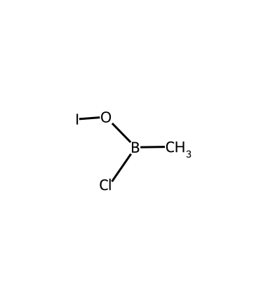 CB(Cl)OI